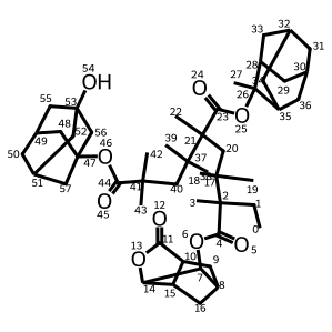 CCC(C)(C(=O)OC1C2CC3C(=O)OC1C3C2)C(C)(C)CC(C)(C(=O)OC1(C)C2CC3CC(C2)CC1C3)C(C)(C)CC(C)(C)C(=O)OC12CC3CC(CC(O)(C3)C1)C2